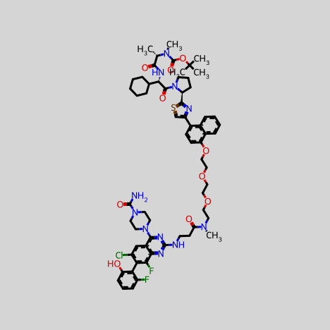 C[C@@H](C(=O)N[C@H](C(=O)N1CCC[C@H]1c1nc(-c2ccc(OCCOCCOCCN(C)C(=O)CCNc3nc(N4CCN(C(N)=O)CC4)c4cc(Cl)c(-c5c(O)cccc5F)c(F)c4n3)c3ccccc23)cs1)C1CCCCC1)N(C)C(=O)OC(C)(C)C